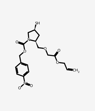 C=CCOC(=O)COC[C@@H]1C[C@H](S)CN1C(=O)OCc1ccc([N+](=O)[O-])cc1